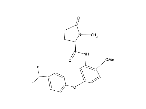 COc1ccc(Oc2ccc(C(F)F)cc2)cc1NC(=O)[C@H]1CCC(=O)N1C